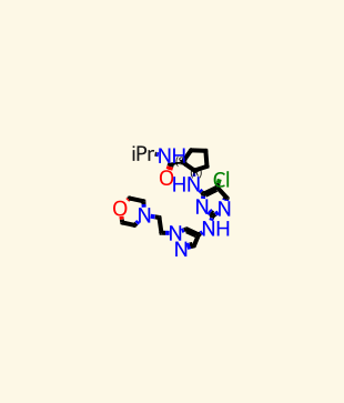 CC(C)NC(=O)[C@H]1CCC[C@H]1Nc1nc(Nc2cnn(CCN3CCOCC3)c2)ncc1Cl